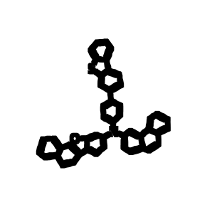 c1ccc2c(c1)ccc1ccc(N(c3ccc(-c4ccc5c(c4)sc4ccccc45)cc3)c3ccc4c(c3)oc3c5ccccc5ccc43)cc12